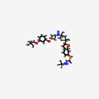 CC(CNC(C)(C)C)Oc1ccc2cc(C(C)(C)CC(C)(C)N[C@H]3C[C@@H](Oc4cccc(OCC(C)(C)C)c4)C3)oc2c1